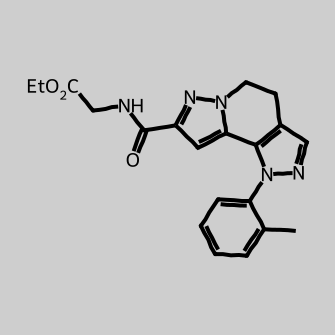 CCOC(=O)CNC(=O)c1cc2n(n1)CCc1cnn(-c3ccccc3C)c1-2